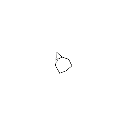 [CH]1CCCCC2CN12